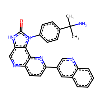 CC(C)(N)c1ccc(-n2c(=O)[nH]c3cnc4ccc(-c5cnc6ccccc6c5)nc4c32)cc1